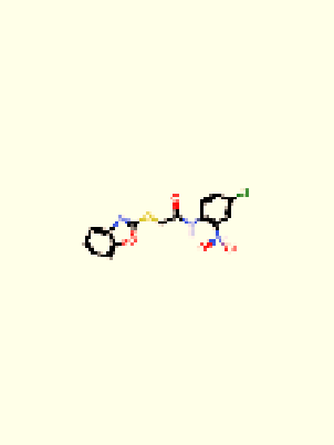 O=C(CSc1nc2ccccc2o1)Nc1ccc(Cl)cc1[N+](=O)O